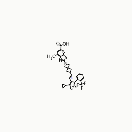 Cc1cc(C(=O)O)nc2sc(N3CC4(CC(/C=C/c5c(-c6ccccc6C(F)(F)F)noc5C5CC5)C4)C3)nc12